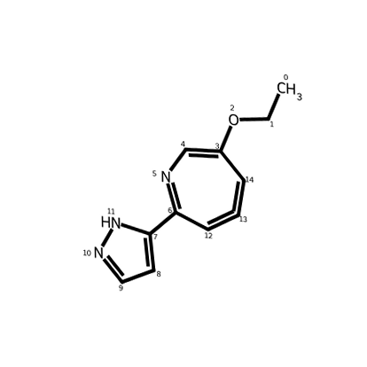 CCOC1=CN=C(c2ccn[nH]2)C=C=C1